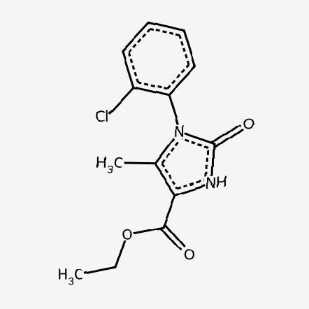 CCOC(=O)c1[nH]c(=O)n(-c2ccccc2Cl)c1C